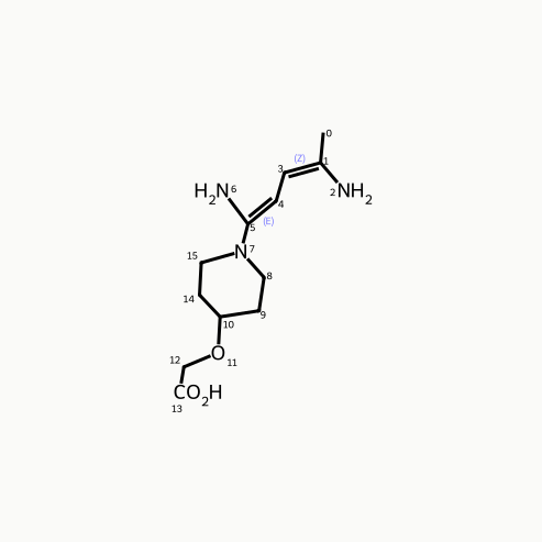 C/C(N)=C/C=C(\N)N1CCC(OCC(=O)O)CC1